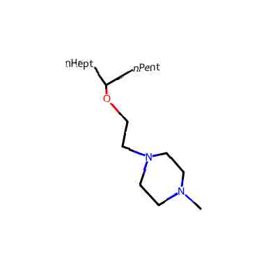 CCCCCCCC(CCCCC)OCCN1CCN(C)CC1